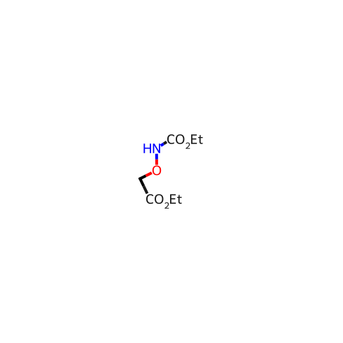 CCOC(=O)CONC(=O)OCC